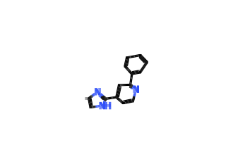 [c]1c[nH]c(-c2ccnc(-c3ccccc3)c2)n1